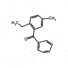 CCc1ccc(C)cc1C(=O)c1ccccc1